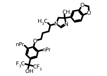 CCCc1cc(C(O)(C(F)(F)F)C(F)(F)F)cc(CCC)c1OCCCC(C)N1C=NC(C)(c2ccc3c(c2)OCO3)C1